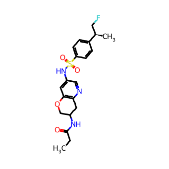 CCC(=O)NC1COc2cc(NS(=O)(=O)c3ccc([C@H](C)CF)cc3)cnc2C1